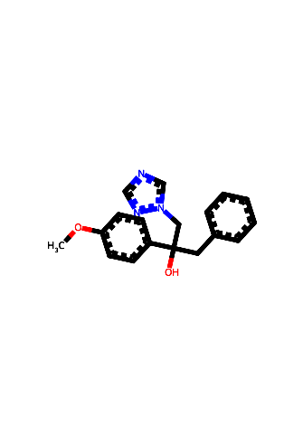 COc1ccc(C(O)(Cc2ccccc2)Cn2cncn2)cc1